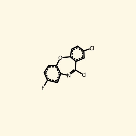 Fc1ccc2c(c1)N=C(Cl)c1cc(Cl)ccc1O2